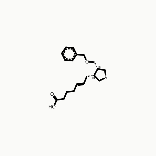 O=C(O)CCCC=CC[C@H]1CSC[C@H]1COCc1ccccc1